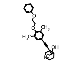 Cc1cc(C#CC2(O)CN3CCC2CC3)cc(C)c1OCCOc1ccccc1